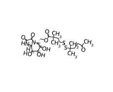 CC(=O)CCC(C)(C)SSCCC(C)(C)C(=O)OC[C@@H]1[C@@H](O)[C@H](O)[C@H](O)[C@H]2NC(=O)C(=O)N12